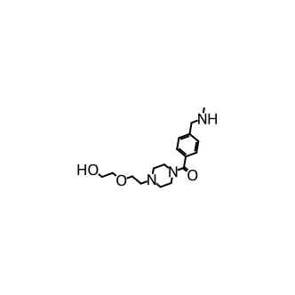 CNCc1ccc(C(=O)N2CCN(CCOCCO)CC2)cc1